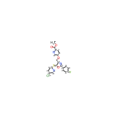 COC(=O)c1ccc(OCc2nc(-c3ccc(F)cc3)oc2Sc2ccc(Cl)cn2)cn1